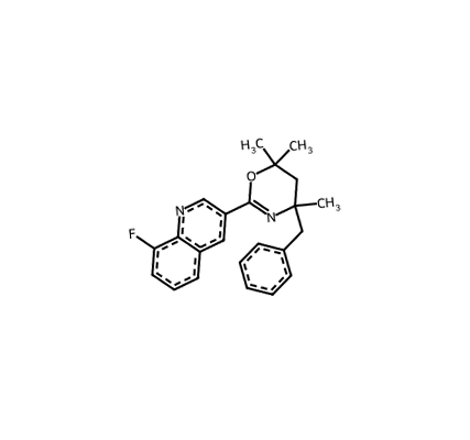 CC1(Cc2ccccc2)CC(C)(C)OC(c2cnc3c(F)cccc3c2)=N1